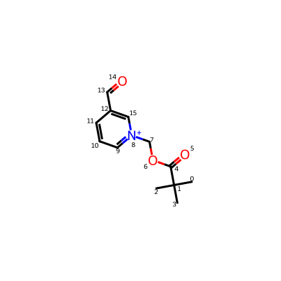 CC(C)(C)C(=O)OC[n+]1cccc(C=O)c1